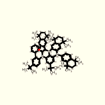 CC(C)(C)c1ccc(N2c3cc(C(C)(C)C)cc4c3B(c3cc5c(cc3N4c3ccc4c(c3)C(C)(C)CCC4(C)C)C(C)(C)CCC5(C)C)c3c2oc2cc4c(cc32)C(C)(C)CCC4(C)C)c(-c2ccccc2)c1